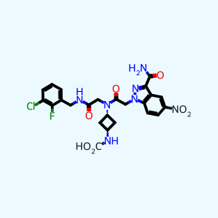 NC(=O)c1nn(CC(=O)N(CC(=O)NCc2cccc(Cl)c2F)[C@H]2C[C@H](NC(=O)O)C2)c2ccc([N+](=O)[O-])cc12